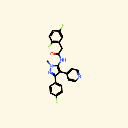 Cn1nc(-c2ccc(F)cc2)c(-c2ccncc2)c1NC(=O)Cc1cc(F)ccc1F